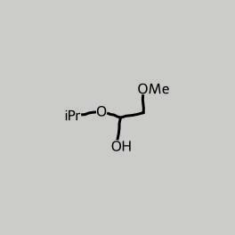 COCC(O)OC(C)C